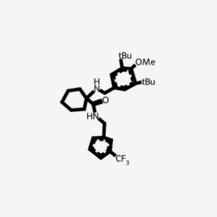 COc1c(C(C)(C)C)cc(CNC2(C(=O)NCc3cccc(C(F)(F)F)c3)CCCCC2)cc1C(C)(C)C